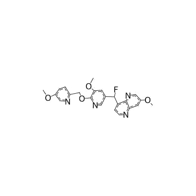 COc1ccc(COc2ncc(C(F)c3ccnc4cc(OC)cnc34)cc2OC)nc1